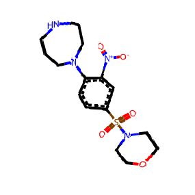 O=[N+]([O-])c1cc(S(=O)(=O)N2CCOCC2)ccc1N1CCCNCC1